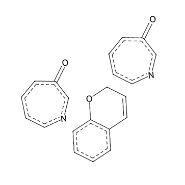 C1=Cc2ccccc2OC1.O=c1ccccnc1.O=c1ccccnc1